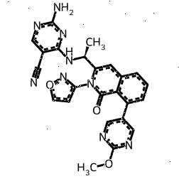 COc1ncc(-c2cccc3cc([C@H](C)Nc4nc(N)ncc4C#N)n(-c4ccon4)c(=O)c23)cn1